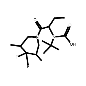 CCC(C(=O)N1CC(C)C(F)(F)C(C)C1)N(C(=O)O)C(C)(C)C